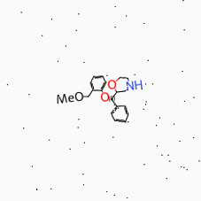 COCc1ccccc1O[C@@H](c1ccccc1)C1CNCCO1